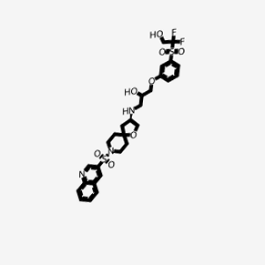 O=S(=O)(c1cnc2ccccc2c1)N1CCC2(CC1)C[C@@H](NCC(O)COc1cccc(S(=O)(=O)C(F)(F)CO)c1)CO2